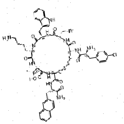 CC(C)C[C@@H]1NC(=O)[C@H](NC(=O)[C@@H](N)Cc2ccc(Cl)cc2)CSSC[C@@H](C(=O)N[C@@H](Cc2ccc3ccccc3c2)C(N)=O)NC(=O)[C@H]([C@@H](C)O)NC(=O)[C@H](CCCCN)NC(=O)[C@@H](Cc2c[nH]c3ccccc23)NC1=O